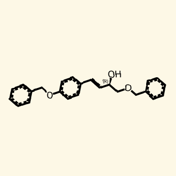 O[C@H](C=Cc1ccc(OCc2ccccc2)cc1)COCc1ccccc1